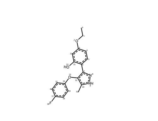 CCOc1ccc(-c2n[nH]c(C)c2Oc2ccc(F)cc2)c(O)c1